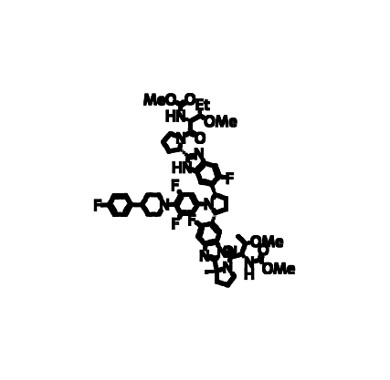 CC[C@@H](OC)[C@@H](NC(=O)OC)C(=O)N1CCC[C@H]1c1nc2cc(F)c([C@H]3CC[C@H](c4cc5[nH]c([C@@]6(C)CCCN6C(=O)[C@@H](NC(=O)OC)[C@@H](C)OC)nc5cc4F)N3c3cc(F)c(N4CCC(c5ccc(F)cc5)CC4)c(F)c3)cc2[nH]1